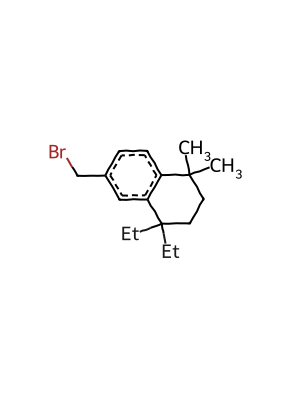 CCC1(CC)CCC(C)(C)c2ccc(CBr)cc21